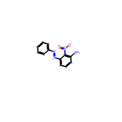 Nc1cccc(N=Nc2ccccc2)c1[N+](=O)[O-]